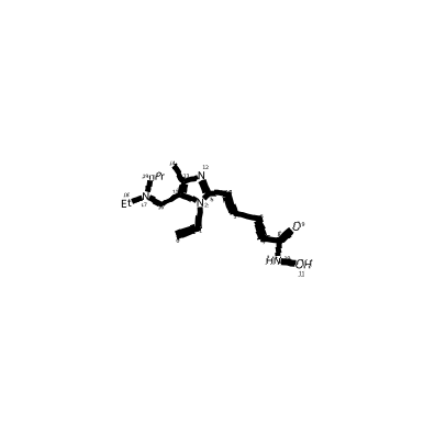 C=Cn1c(/C=C/C=C/C(=O)NO)nc(C)c1CN(CC)CCC